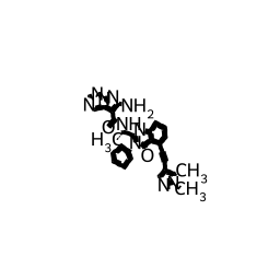 Cc1c(C#Cc2cccc3nc([C@H](C)NC(=O)c4c(N)nn5ncncc45)n(-c4ccccc4)c(=O)c23)cnn1C